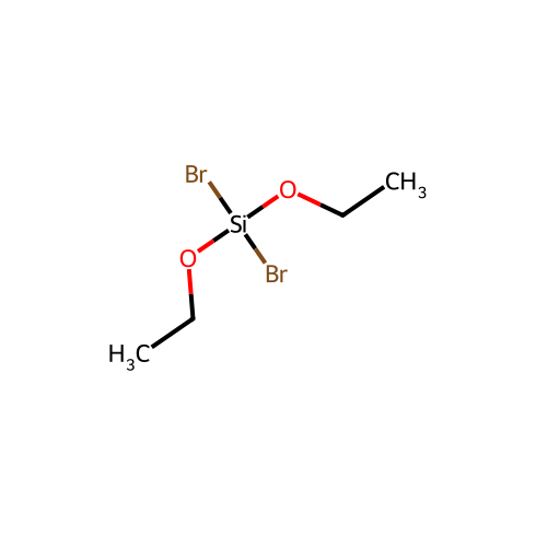 CCO[Si](Br)(Br)OCC